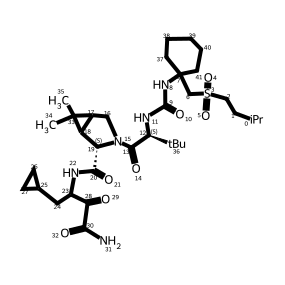 CC(C)CCS(=O)(=O)CC1(NC(=O)N[C@H](C(=O)N2CC3C([C@H]2C(=O)NC(CC2CC2)C(=O)C(N)=O)C3(C)C)C(C)(C)C)CCCCC1